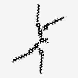 CCCCCCCCCCCCOc1ccc(COc2ccc(COc3cc(OCc4ccc(OCc5ccc(OCCCCCCCCCCCC)cc5)c(OCc5ccc(OCCCCCCCCCCCC)cc5)c4)cc(C(=O)OC)c3)cc2OCc2ccc(OCCCCCCCCCCCC)cc2)cc1